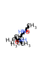 CCCC(=O)NCCCC[C@H](NC(C)C)C(=O)C(C)C